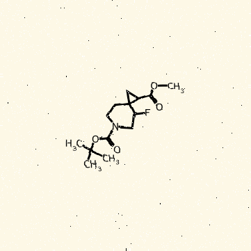 COC(=O)C1CC12CCN(C(=O)OC(C)(C)C)CC2F